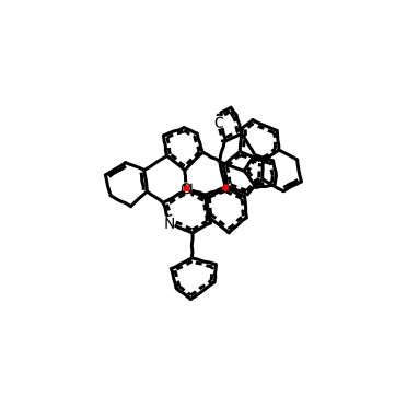 C1=CC(c2cccc3c2Oc2ccccc2C32c3ccccc3-c3ccccc32)=C(c2nc(-c3ccccc3)cc(-c3cc4c5c(cccc5c3)CC=C4)n2)CC1